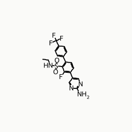 CCNS(=O)(=O)c1c(-c2ccc(C(F)(F)F)cc2)ccc(-c2cnc(N)nc2)c1F